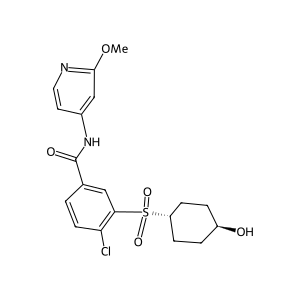 COc1cc(NC(=O)c2ccc(Cl)c(S(=O)(=O)[C@H]3CC[C@H](O)CC3)c2)ccn1